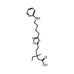 CCC(C)(CCc1nc(CCCCNc2ccccn2)no1)CC(=O)O